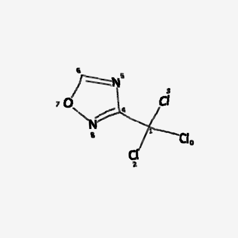 ClC(Cl)(Cl)c1ncon1